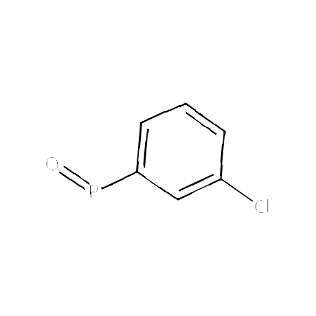 O=Pc1cccc(Cl)c1